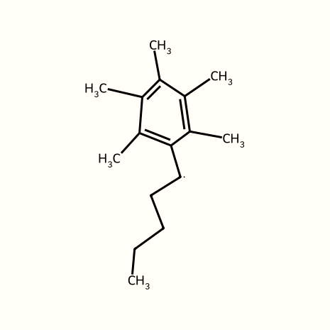 CCCC[CH]c1c(C)c(C)c(C)c(C)c1C